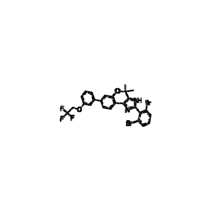 CC1(C)Oc2cc(-c3cccc(OCC(F)(F)F)c3)ccc2-c2nc(-c3c(Br)cccc3Br)[nH]c21